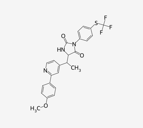 COc1ccc(-c2cc(C(C)C3NC(=O)N(c4ccc(SC(F)(F)F)cc4)C3=O)ccn2)cc1